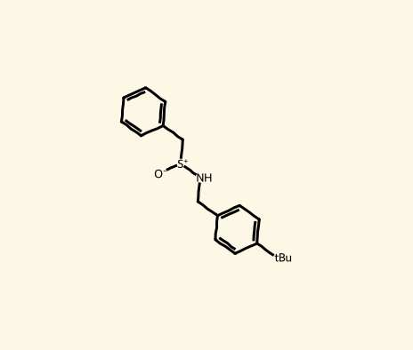 CC(C)(C)c1ccc(CN[S+]([O-])Cc2ccccc2)cc1